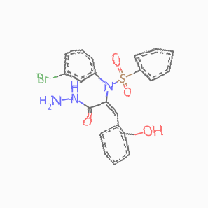 NNC(=O)C(=Cc1ccccc1O)N(c1cccc(Br)c1)S(=O)(=O)c1ccccc1